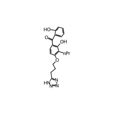 CCCc1c(OCCCc2nnn[nH]2)ccc(C(=O)c2ccccc2O)c1O